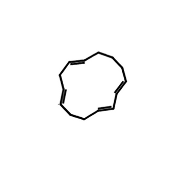 [C]1=C/C/C=C/CCC/C=C/C=C/CC/1